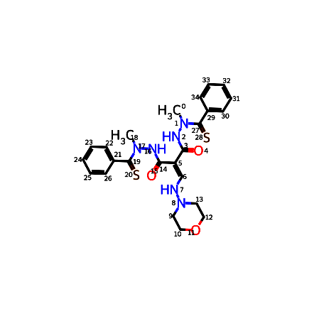 CN(NC(=O)C(=CNN1CCOCC1)C(=O)NN(C)C(=S)c1ccccc1)C(=S)c1ccccc1